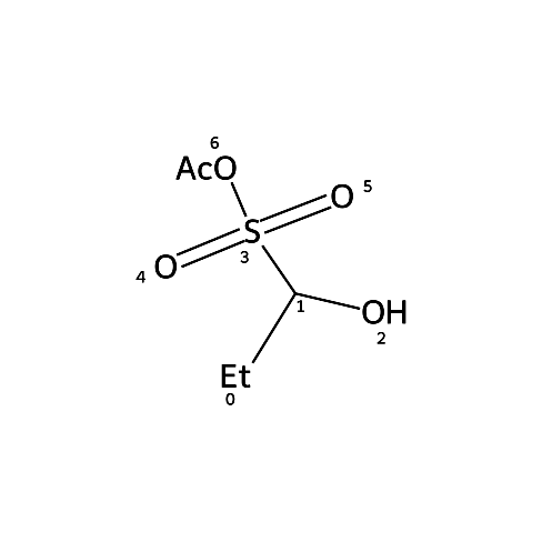 CCC(O)S(=O)(=O)OC(C)=O